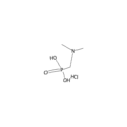 CN(C)CP(=O)(O)O.Cl